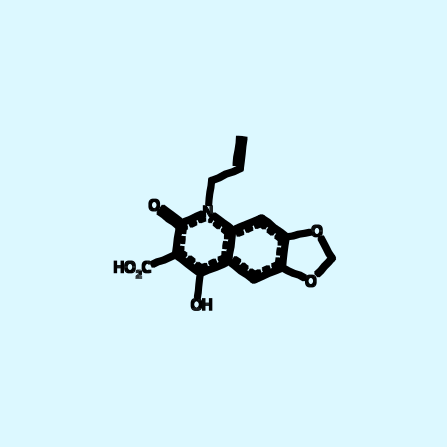 C=CCn1c(=O)c(C(=O)O)c(O)c2cc3c(cc21)OCO3